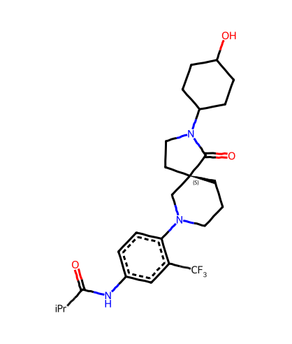 CC(C)C(=O)Nc1ccc(N2CCC[C@]3(CCN(C4CCC(O)CC4)C3=O)C2)c(C(F)(F)F)c1